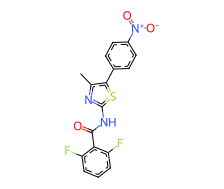 Cc1nc(NC(=O)c2c(F)cccc2F)sc1-c1ccc([N+](=O)[O-])cc1